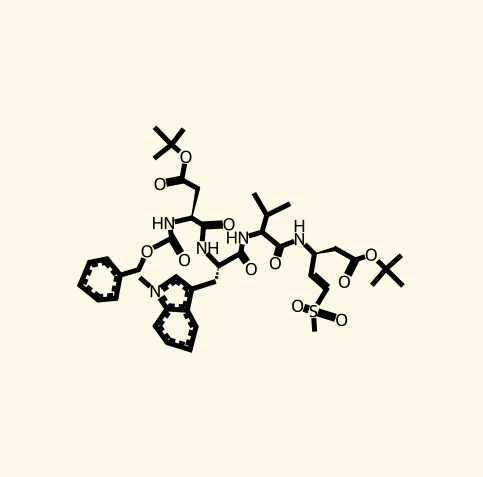 CC(C)C(NC(=O)[C@H](Cc1cn(C)c2ccccc12)NC(=O)[C@H](CC(=O)OC(C)(C)C)NC(=O)OCc1ccccc1)C(=O)N[C@H](/C=C/S(C)(=O)=O)CC(=O)OC(C)(C)C